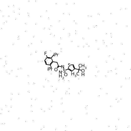 CC(C)c1ccc(F)c(C(C)C)c1CC(=O)N=[S@](N)(=O)c1cc(C(C)(C)O)cs1